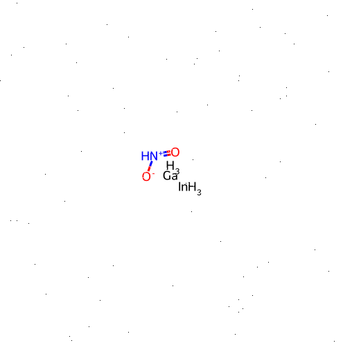 O=[NH+][O-].[GaH3].[InH3]